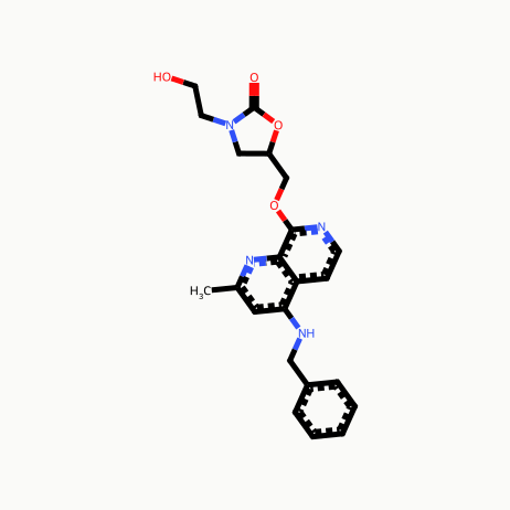 Cc1cc(NCc2ccccc2)c2ccnc(OCC3CN(CCO)C(=O)O3)c2n1